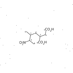 CC(CC(CC(=O)O)C(=O)O)C(C)[N+](=O)[O-]